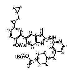 COc1cnc(OCC2CC2)nc1-c1ccc2nc(Nc3cc(CN4CCN(C(=O)OC(C)(C)C)CC4)ccn3)[nH]c2c1